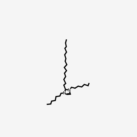 CCCCCCCCCCCCCCCCC1N(CCCCCCC)C=CN1CCCCCCC